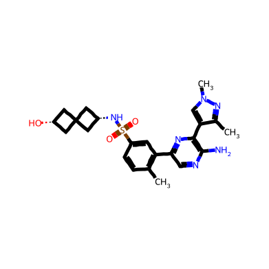 Cc1ccc(S(=O)(=O)N[C@H]2CC3(C[C@@H](O)C3)C2)cc1-c1cnc(N)c(-c2cn(C)nc2C)n1